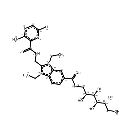 CCn1c(CNC(=O)c2nc(Cl)cnc2N)[n+](CC)c2ccc(C(=O)NC[C@H](O)[C@@H](O)[C@H](O)[C@H](O)CO)cc21